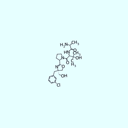 C[C@H](N)C(=O)N[C@H](C(=O)N1CCCC1C1=N[C@](CO)(Cc2cccc(Cl)c2)CO1)C(C)(C)O